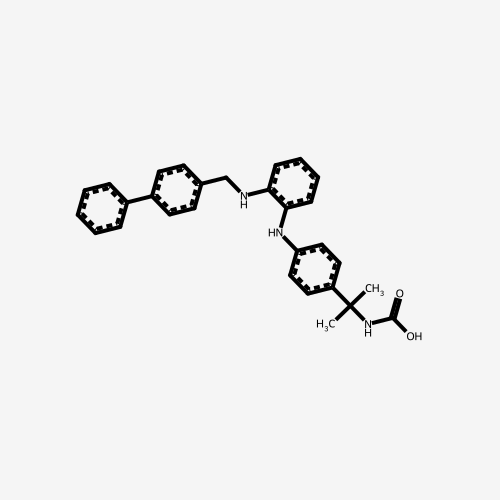 CC(C)(NC(=O)O)c1ccc(Nc2ccccc2NCc2ccc(-c3ccccc3)cc2)cc1